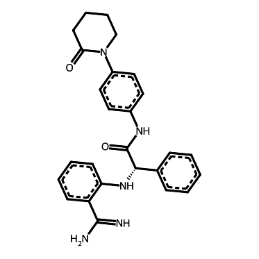 N=C(N)c1ccccc1N[C@H](C(=O)Nc1ccc(N2CCCCC2=O)cc1)c1ccccc1